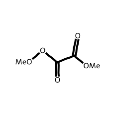 COOC(=O)C(=O)OC